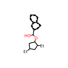 CCC1CC(CC)C(OC(O)c2ccc3ccccc3c2)C1